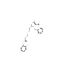 NC(=O)C1=C(Cl)SC(CCNCCC(=O)Nc2ccccc2[N+](=O)[O-])N1Cc1ncccc1F